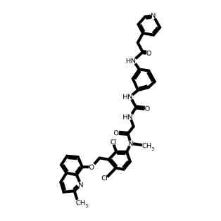 Cc1ccc2cccc(OCc3c(Cl)ccc(N(C)C(=O)CNC(=O)Nc4cccc(NC(=O)Cc5ccncc5)c4)c3Cl)c2n1